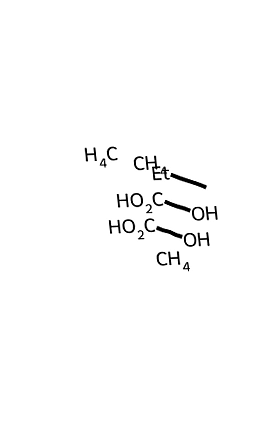 C.C.C.CCC.O=C(O)O.O=C(O)O